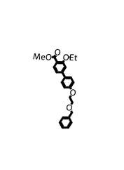 CCOc1cc(-c2ccc(OCCOCc3ccccc3)cc2)ccc1C(=O)OC